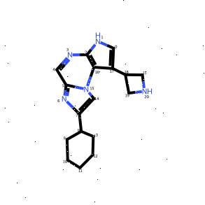 c1[nH]c2ncc3nc(C4CCCCC4)cn3c2c1C1CNC1